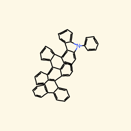 c1ccc(-c2ccccc2-c2c3ccccc3c(-c3ccccc3-c3cccc4c3c3ccccc3n4-c3ccccc3)c3ccccc23)cc1